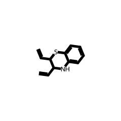 C=CC1Nc2ccccc2SC1C=C